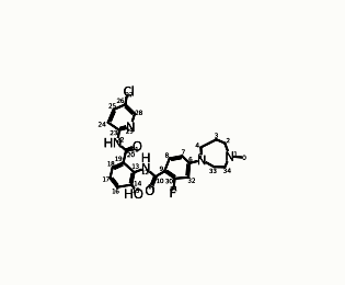 CN1CCCN(c2ccc(C(=O)Nc3c(O)cccc3C(=O)Nc3ccc(Cl)cn3)c(F)c2)CC1